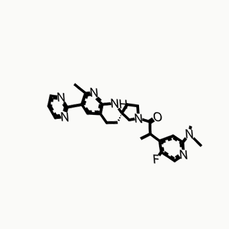 Cc1nc2c(cc1-c1ncccn1)CC[C@@]1(CCN(C(=O)C(C)c3cc(N(C)C)ncc3F)C1)N2